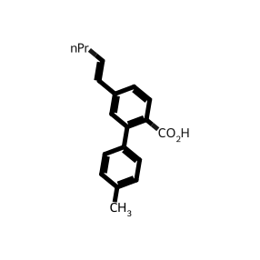 CCC/C=C/c1ccc(C(=O)O)c(-c2ccc(C)cc2)c1